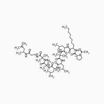 CCCCCCCCC(NC(=O)[C@@H]1CCCN1C(C)=O)C(=O)NC(CC(C)C)C(=O)NC(C)(C)C(=O)NC(CC(C)C)C(=O)NC(CC(C)C)C(=O)NC(C)(C)C(=O)NC(C)(C)C(=O)NCCC(=O)NC(C)CN(C)C